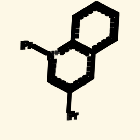 CC(C)c1cc2ccccc2[n+](C(C)C)c1